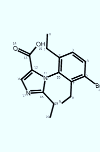 CCc1ccc(Br)c(CC)c1-n1c(C(=O)O)cnc1CC